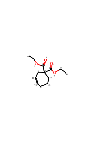 CCOC(=O)C1(C(=O)OCC)CC=CCCC1